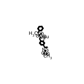 CC[C@H](C)N(Cc1ccc(-c2csc(S(C)(=O)=O)n2)cc1F)S(=O)(=O)C(C)c1ccccc1